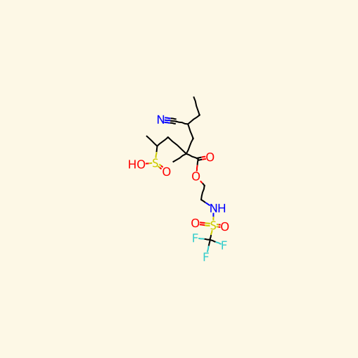 CCC(C#N)CC(C)(CC(C)S(=O)O)C(=O)OCCNS(=O)(=O)C(F)(F)F